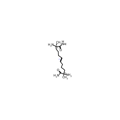 C[C@](N)(CCC/C=C/CCC[C@](C)(N)C(=O)NI)C(N)=O